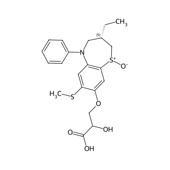 CC[C@H]1CN(c2ccccc2)c2cc(SC)c(OCC(O)C(=O)O)cc2[S+]([O-])C1